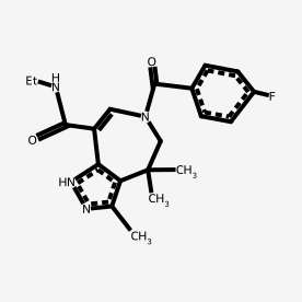 CCNC(=O)C1=CN(C(=O)c2ccc(F)cc2)CC(C)(C)c2c(C)n[nH]c21